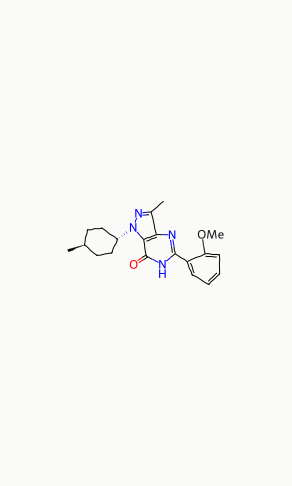 COc1ccccc1-c1nc2c(C)nn([C@H]3CC[C@H](C)CC3)c2c(=O)[nH]1